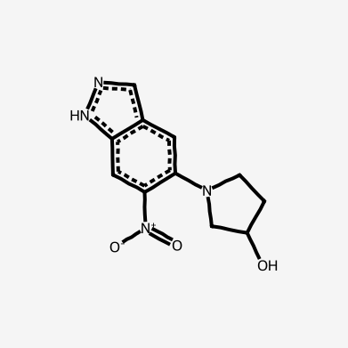 O=[N+]([O-])c1cc2[nH]ncc2cc1N1CCC(O)C1